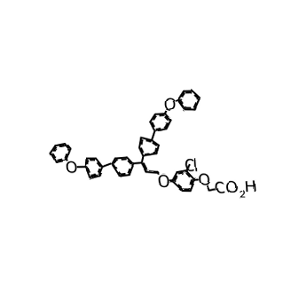 O=C(O)COc1ccc(OCC=C(c2ccc(-c3ccc(Oc4ccccc4)cc3)cc2)c2ccc(-c3ccc(Oc4ccccc4)cc3)cc2)cc1Cl